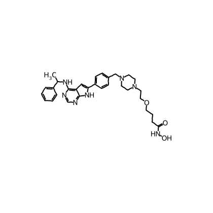 CC(Nc1ncnc2[nH]c(-c3ccc(CN4CCN(CCOCCCC(=O)NO)CC4)cc3)cc12)c1ccccc1